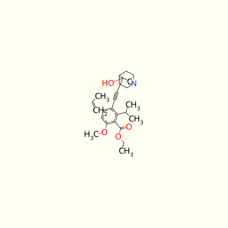 C=CC.CCOC(=O)c1c(OC)ccc(C#CC2(O)CN3CCC2CC3)c1C(C)C